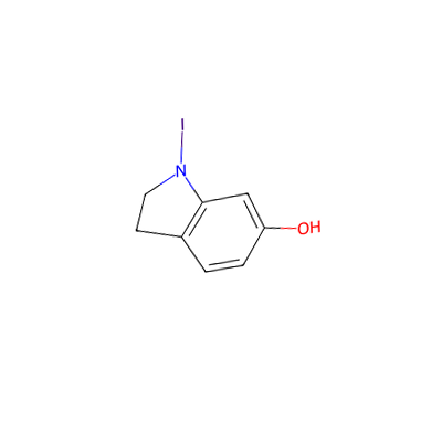 Oc1ccc2c(c1)N(I)CC2